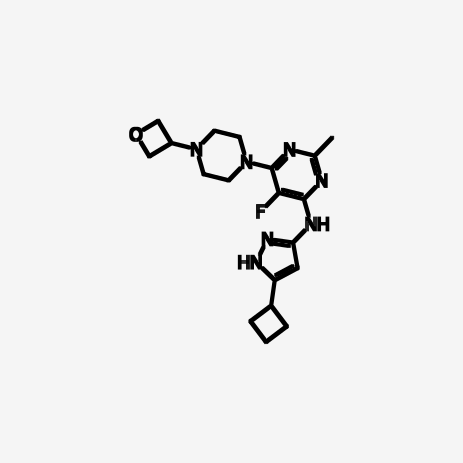 Cc1nc(Nc2cc(C3CCC3)[nH]n2)c(F)c(N2CCN(C3COC3)CC2)n1